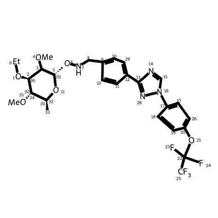 CCO[C@H]1C(OC)[C@H](ONCc2ccc(-c3ncn(-c4ccc(OC(F)(F)C(F)(F)F)cc4)n3)cc2)O[C@@H](C)[C@@H]1OC